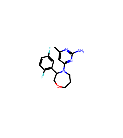 Cc1cc(N2CCCOCC2c2cc(F)ccc2F)nc(N)n1